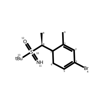 CC1=CC(Br)=CCC1[C@H](C)S(=N)(=O)C(C)(C)C